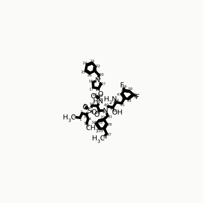 CCCC(CCC)S(=O)(=O)CC(NC(=O)O[C@@H]1CCN(Cc2ccccc2)C1)C(=O)N(Cc1cccc(CC)c1)C[C@@H](O)[C@@H](N)Cc1cc(F)cc(F)c1